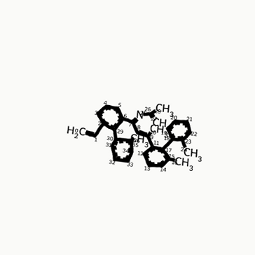 C=Cc1cccc(C(/C=C(\C)c2cccc(C)c2-c2ccccc2C)=N/C(=C)C)c1-c1ccccc1C